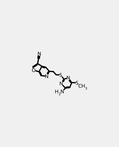 CSc1cc(N)nc(SCCc2cc3c(C#N)coc3cn2)n1